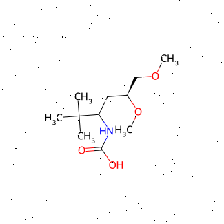 COC[C@H](CC(NC(=O)O)C(C)(C)C)OC